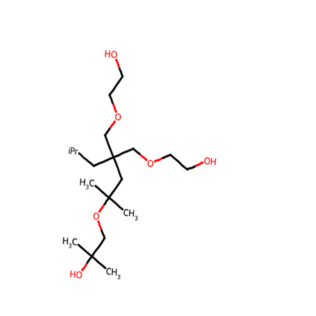 CC(C)CC(COCCO)(COCCO)CC(C)(C)OCC(C)(C)O